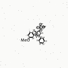 COc1cccc([N+]2(C)C(c3ccccc3)CCN2C)c1.[O-][Cl+3]([O-])([O-])[O-]